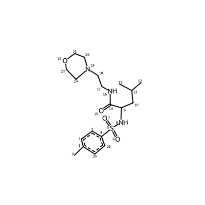 Cc1ccc(S(=O)(=O)NC(CC(C)C)C(=O)NCCN2CCOCC2)cc1